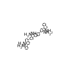 NC1(N)c2cc(-c3cccc4c5c(ccc34)-c3ccccc3C5(N)N)ccc2-c2cc3ccc(-c4ccc5c(c4)C(N)(N)c4ccc6ccccc6c4-5)cc3cc21